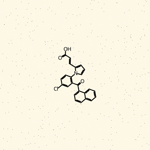 O=C(O)C=Cc1cccn1-c1ccc(Cl)cc1C(=O)c1cccc2ccccc12